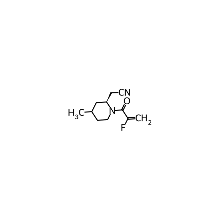 C=C(F)C(=O)N1CCC(C)C[C@H]1CC#N